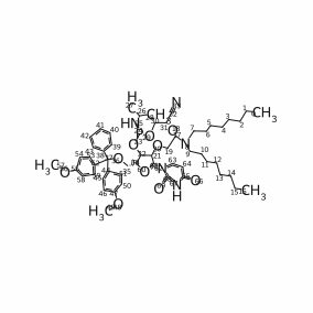 CCCCCCCCN(CCCCCCCC)C(=O)COC1C(OP(NC(C)C)OCCC#N)[C@@H](COC(c2ccccc2)(c2ccc(OC)cc2)c2ccc(OC)cc2)O[C@H]1n1ccc(=O)[nH]c1=O